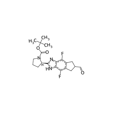 CC(C)(C)OC(=O)N1CCC[C@@H]1c1nc2c(F)c3c(c(F)c2[nH]1)CC(C=O)C3